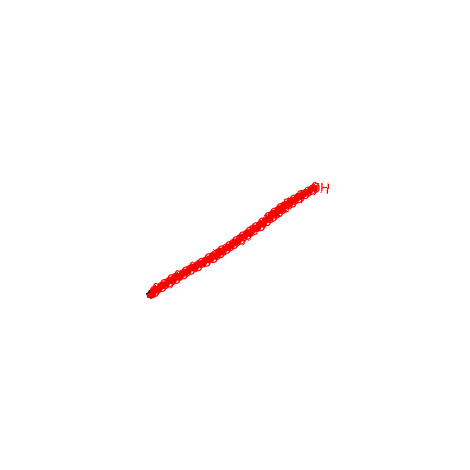 OCCOCCOCCOCCOCCOCCOCCOCCOCCOCCOCCOCCOCCOCCOCCOCCOCCOCCOCCOCCOCCOCCOCCOCCOCCOCCOCCOCCOCCOCCOCCOCCOCCOCCOCCOCCOCCOCCOCCOCCOCCOCCOCCOCCOCCOCCOCCOCc1ccccc1